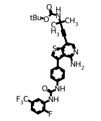 CC(C)(C#Cc1cnc(N)c2c(-c3ccc(NC(=O)Nc4cc(C(F)(F)F)ccc4F)cc3)csc12)NC(=O)OC(C)(C)C